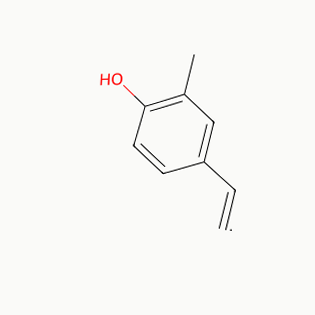 [CH]=Cc1ccc(O)c(C)c1